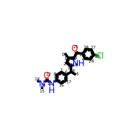 Cc1cc(C(C)c2ccc(NC(=O)N(C)C)cc2)[nH]c1C(=O)c1ccc(Cl)cc1